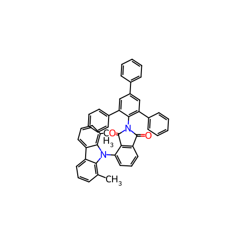 Cc1cccc2c3cccc(C)c3n(-c3cccc4c3C(=O)N(c3c(-c5ccccc5)cc(-c5ccccc5)cc3-c3ccccc3)C4=O)c12